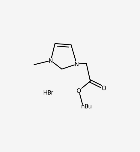 Br.CCCCOC(=O)CN1C=CN(C)C1